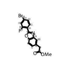 COC(=O)Cc1ccc2oc(-c3ccc(Br)cc3F)nc2c1